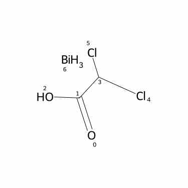 O=C(O)C(Cl)Cl.[BiH3]